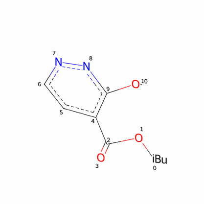 CCC(C)OC(=O)c1ccnnc1[O]